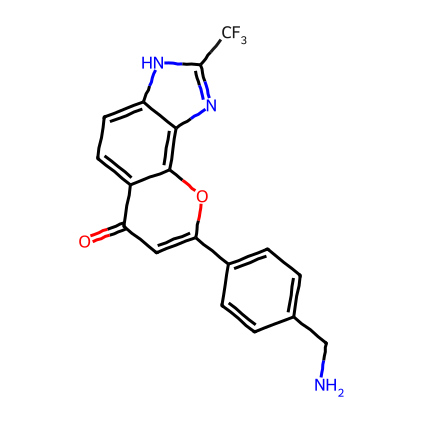 NCc1ccc(-c2cc(=O)c3ccc4[nH]c(C(F)(F)F)nc4c3o2)cc1